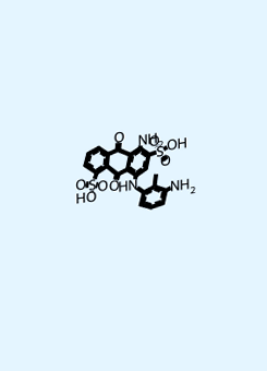 Cc1c(N)cccc1Nc1cc(S(=O)(=O)O)c(N)c2c1C(=O)c1c(cccc1S(=O)(=O)O)C2=O